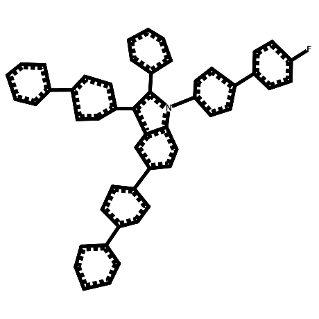 Fc1ccc(-c2ccc(-n3c(-c4ccccc4)c(-c4ccc(-c5ccccc5)cc4)c4cc(-c5ccc(-c6ccccc6)cc5)ccc43)cc2)cc1